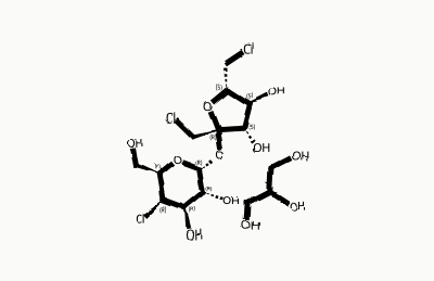 OCC(O)CO.OC[C@H]1O[C@H](O[C@]2(CCl)O[C@H](CCl)[C@@H](O)[C@@H]2O)[C@H](O)[C@@H](O)[C@H]1Cl